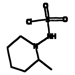 CC1CCCCN1NS(=O)(=O)Cl